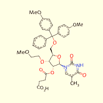 COCCO[C@H]1[C@@H](OC(=O)CCC(=O)O)[C@H](n2cc(C)c(=O)[nH]c2=O)O[C@@H]1COC(c1ccccc1)(c1ccc(OC)cc1)c1ccc(OC)cc1